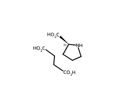 O=C(O)CCC(=O)O.O=C(O)[C@@H]1CCCN1